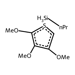 CCC[SiH3].COc1csc(OC)c1OC